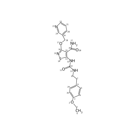 CCOc1ccc(CCNC(=O)Nc2snc(OCc3cccnc3)c2C(N)=O)cc1